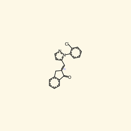 O=C1/C(=C/c2ccnn2-c2ccccc2Cl)Cc2ccccc21